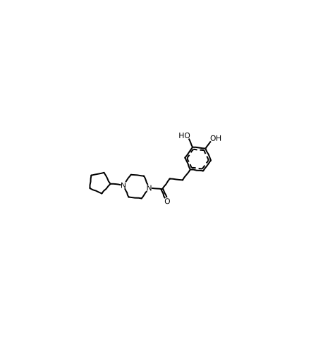 O=C(CCc1ccc(O)c(O)c1)N1CCN(C2CCCC2)CC1